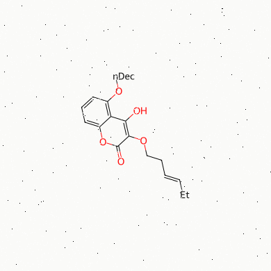 CCC=CCCOc1c(O)c2c(OCCCCCCCCCC)cccc2oc1=O